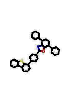 c1ccc(-c2ccc(-c3ccccc3)c3oc(-c4ccc(-c5cccc6c5sc5ccccc56)cc4)nc23)cc1